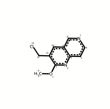 COc1nc2ccncc2cc1CCl